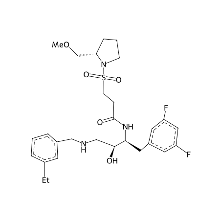 CCc1cccc(CNC[C@H](O)[C@H](Cc2cc(F)cc(F)c2)NC(=O)CCS(=O)(=O)N2CCC[C@H]2COC)c1